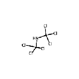 ClC(Cl)(Cl)NC(Cl)(Cl)Cl